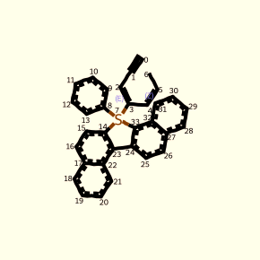 C#C/C=C(\C=C/C)S1(c2ccccc2)c2ccc3ccccc3c2-c2ccc3ccccc3c21